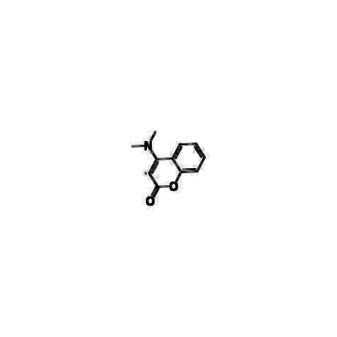 CN(C)c1[c]c(=O)oc2ccccc12